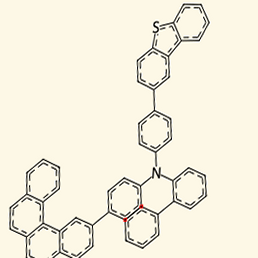 c1ccc(-c2ccccc2N(c2ccc(-c3ccc4sc5ccccc5c4c3)cc2)c2ccc(-c3ccc4ccc5ccc6ccccc6c5c4c3)cc2)cc1